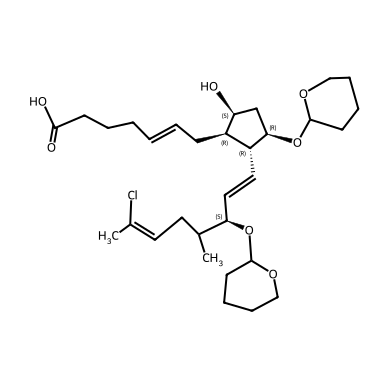 CC(Cl)=CCC(C)[C@@H](C=C[C@@H]1[C@@H](CC=CCCCC(=O)O)[C@@H](O)C[C@H]1OC1CCCCO1)OC1CCCCO1